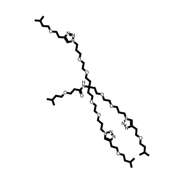 CC(C)CCOCCC(=O)NC(CCOCCOCCCn1cc(CCOCCC(C)C)nn1)(CCOCCOCCCn1cc(CCOCCC(C)C)nn1)CCOCCOCCCn1cc(CCOCCC(C)C)nn1